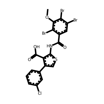 COc1c(Br)c(Br)cc(C(=O)Nc2scc(-c3cccc(Cl)c3)c2C(=O)O)c1Br